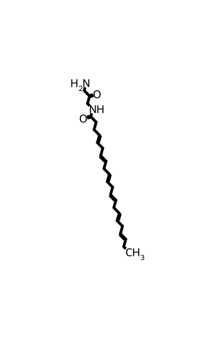 CCC=CCC=CCC=CCC=CCC=CCC=CCCC(=O)NCC(=O)CN